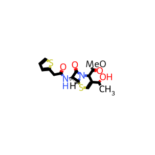 COC(=O)C1C(C(C)O)=CS[C@H]2[C@H](NC(=O)Cc3cccs3)C(=O)N12